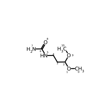 COC(CCNC(N)=O)OC